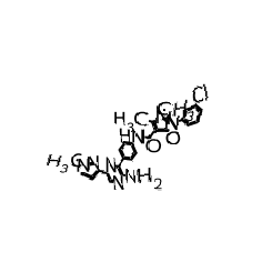 Cc1c(C(=O)Nc2ccc(-c3nc(-c4ccn(C)n4)cnc3N)cc2)c(=O)n(-c2cccc(Cl)c2)n1C